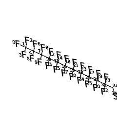 FC(F)(F)C(F)(F)C(F)(F)C(F)(F)C(F)(F)C(F)(F)C(F)(F)C(F)(F)C(F)(F)C(F)(F)C(F)(F)CS